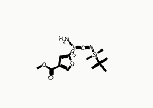 COC(=O)c1coc([SH2](N)=C=N[Si](C)(C)C(C)(C)C)c1